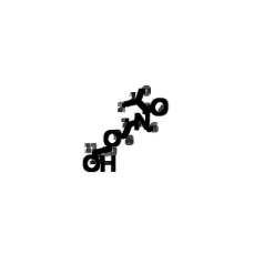 CC(C)C(=O)N(C)CCOCCO